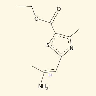 CCOC(=O)c1sc(/C=C(\C)N)nc1C